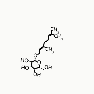 CC(C)=CCC/C(C)=C/CO[C@@H]1O[C@H](CO)[C@@H](O)[C@H](O)[C@H]1O